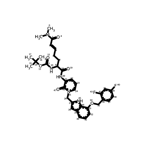 CN(C)C(=O)C=CCCC(NC(=O)OC(C)(C)C)C(=O)Nc1cccn(Cc2cc3cccc(OCc4ccc(F)cc4F)c3[nH]2)c1=O